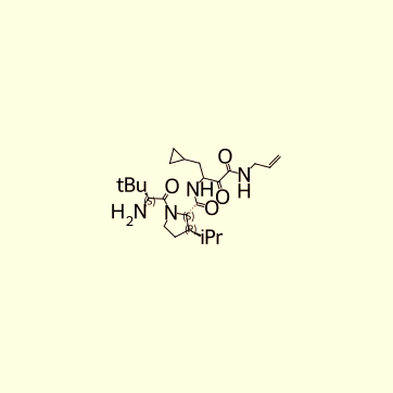 C=CCNC(=O)C(=O)C(CC1CC1)NC(=O)[C@@H]1[C@@H](C(C)C)CCN1C(=O)[C@@H](N)C(C)(C)C